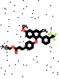 CCOC(=O)C=Cc1ccc(Oc2c(-c3cccc(C(F)(F)F)c3)c(C)cc3cc(OC)ccc23)cc1